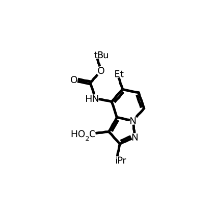 CCc1ccn2nc(C(C)C)c(C(=O)O)c2c1NC(=O)OC(C)(C)C